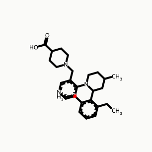 CCc1cccc(CC)c1C1CC(C)CCN1c1ncncc1CN1CCC(C(=O)O)CC1